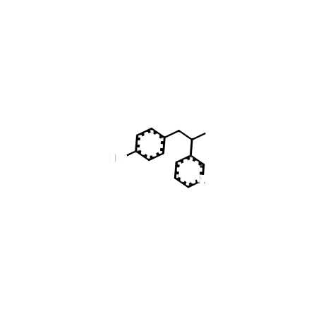 CC(Cc1ccc(O)cc1)c1cccnc1